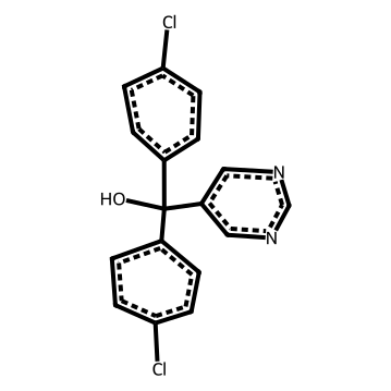 OC(c1ccc(Cl)cc1)(c1ccc(Cl)cc1)c1cncnc1